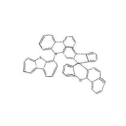 c1ccc(-c2ccccc2N(c2ccc3c(c2)C2(c4ccccc4Oc4c2ccc2ccccc42)c2ccccc2-3)c2cccc3c2sc2ccccc23)cc1